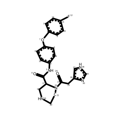 O=C(Nc1ccc(Oc2ccc(F)cc2)cc1)C1CNCCN1C(=O)Cc1c[nH]cn1